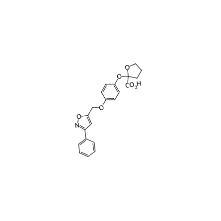 O=C(O)C1(Oc2ccc(OCc3cc(-c4ccccc4)no3)cc2)CCCO1